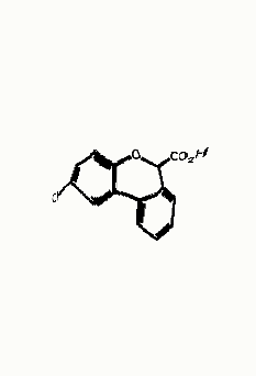 O=C(O)C1Oc2ccc(Cl)cc2-c2ccccc21